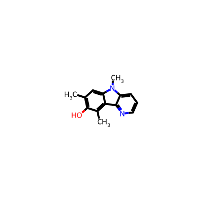 Cc1cc2c(c(C)c1O)c1ncccc1n2C